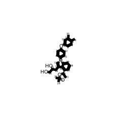 Cc1ccc(Oc2ccc(-n3cc(C[C@H](O)CO)c4c([C@H]5COC(C)(C)O5)cccc43)cc2)cc1C